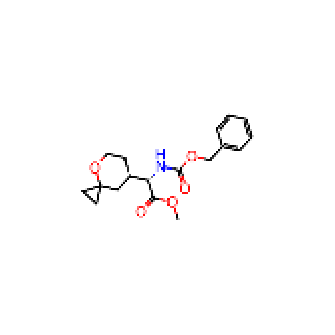 COC(=O)[C@@H](NC(=O)OCc1ccccc1)[C@@H]1CCOC2(CC2)C1